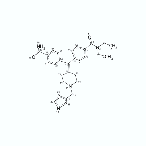 CCN(CC)C(=O)c1ccc(C(=C2CCN(Cc3cncs3)CC2)c2ccc(C(N)=O)cc2)cc1